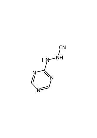 N#CNNc1ncncn1